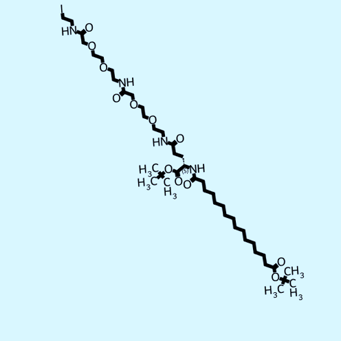 CC(C)(C)OC(=O)CCCCCCCCCCCCCCC(=O)N[C@@H](CCC(=O)NCCOCCOCC(=O)NCCOCCOCC(=O)NCCI)C(=O)OC(C)(C)C